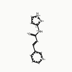 O=C(C=Cc1cccnc1)Nc1cc[nH]n1